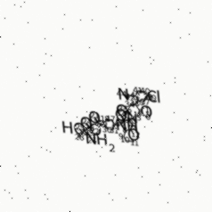 COc1cn(C(C[C@@H]2CCCCO2)C(=O)Nc2ccc(C(=O)OC(=O)[C@@H](N)[C@@H](C)O)cc2)c(=O)cc1-c1cc(Cl)ccc1C#N